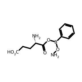 NOB(OC(=O)[C@@H](N)CCC(=O)O)c1ccccc1